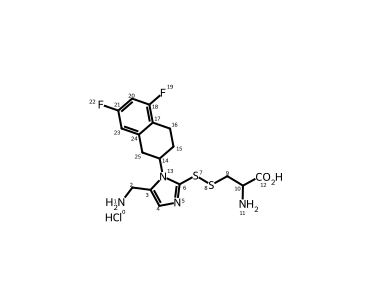 Cl.NCc1cnc(SSCC(N)C(=O)O)n1C1CCc2c(F)cc(F)cc2C1